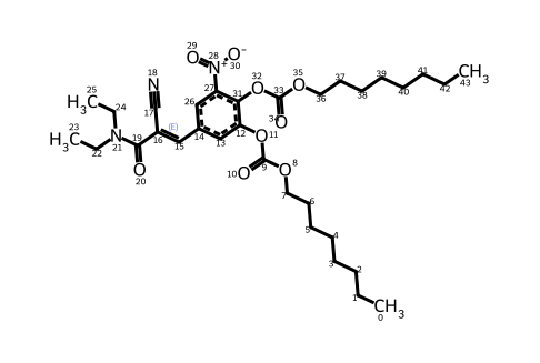 CCCCCCCCOC(=O)Oc1cc(/C=C(\C#N)C(=O)N(CC)CC)cc([N+](=O)[O-])c1OC(=O)OCCCCCCCC